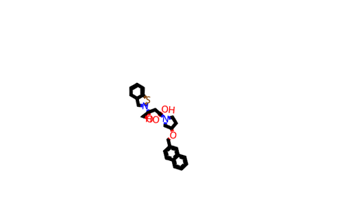 OC(O)(CC1(N2CC3CC=CC=C3S2)CO1)N1CCC(OCc2ccc3ccccc3c2)C1